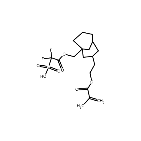 C=C(C)C(=O)OCCC1CC2CCCC(COC(=O)C(F)(F)S(=O)(=O)O)(C2)C1